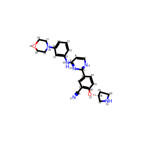 N#Cc1cc(-c2nccc(Nc3cccc(N4CCOCC4)c3)n2)ccc1O[C@@H]1CCNC1